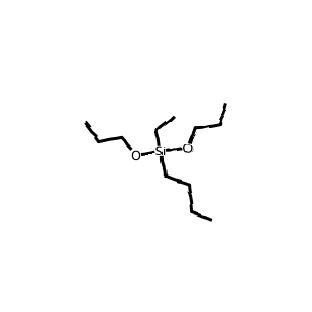 CCCC[Si](CC)(OCCC)OCCC